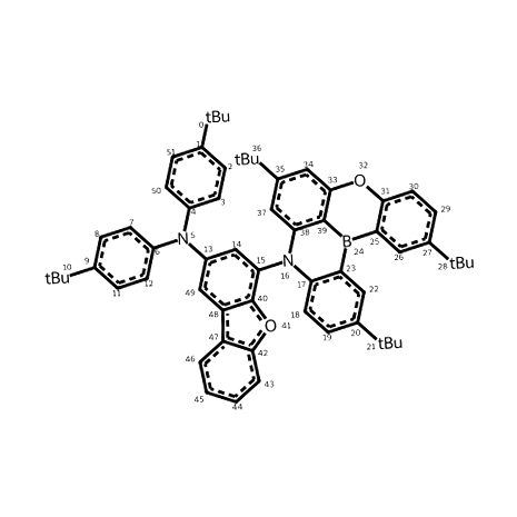 CC(C)(C)c1ccc(N(c2ccc(C(C)(C)C)cc2)c2cc(N3c4ccc(C(C)(C)C)cc4B4c5cc(C(C)(C)C)ccc5Oc5cc(C(C)(C)C)cc3c54)c3oc4ccccc4c3c2)cc1